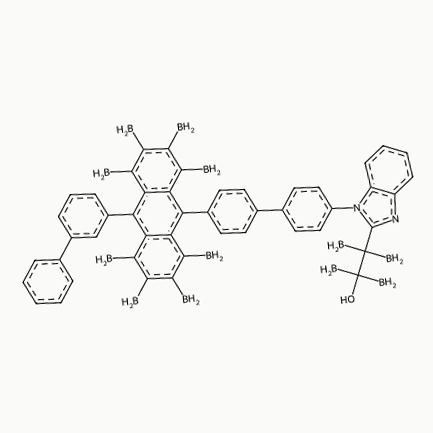 Bc1c(B)c(B)c2c(-c3cccc(-c4ccccc4)c3)c3c(B)c(B)c(B)c(B)c3c(-c3ccc(-c4ccc(-n5c(C(B)(B)C(B)(B)O)nc6ccccc65)cc4)cc3)c2c1B